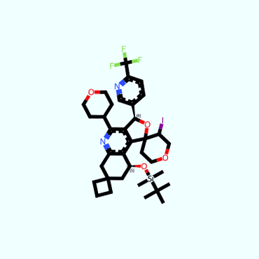 CC(C)(C)[Si](C)(C)O[C@H]1CC2(CCC2)Cc2nc(C3CCOCC3)c3c(c21)C1(CCOCC1I)O[C@@H]3c1ccc(C(F)(F)F)nc1